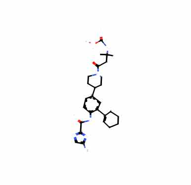 CC(C)(CC(=O)N1CCC(c2ccc(NC(=O)c3nc(N)c[nH]3)c(C3=CCCCC3)c2)CC1)NC(=O)OC(C)(C)C